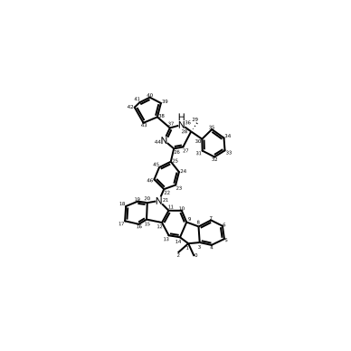 CC1(C)c2ccccc2-c2cc3c(cc21)c1ccccc1n3-c1ccc(C2=C[C@](C)(c3ccccc3)NC(c3ccccc3)=N2)cc1